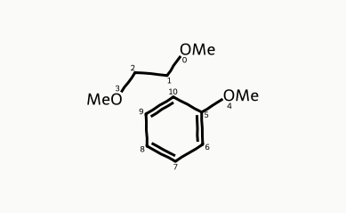 COCCOC.COc1ccccc1